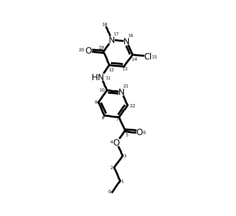 CCCCOC(=O)c1ccc(Nc2cc(Cl)nn(C)c2=O)nc1